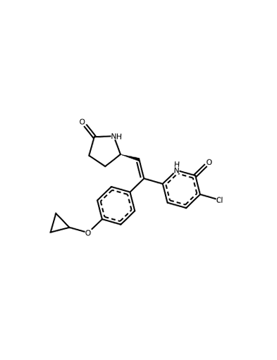 O=C1CC[C@H](/C=C(\c2ccc(OC3CC3)cc2)c2ccc(Cl)c(=O)[nH]2)N1